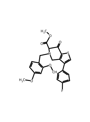 COC(=O)C1C(=O)c2scc(-c3ccc(F)cc3)c2CN1Cc1ccc(OC)cc1OC